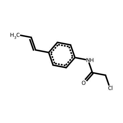 CC=Cc1ccc(NC(=O)CCl)cc1